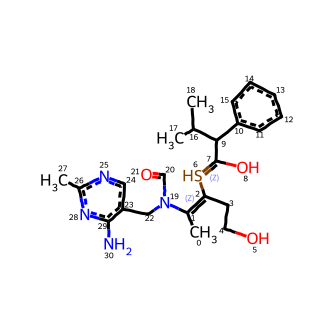 C/C(=C(CCO)/[SH]=C(\O)C(c1ccccc1)C(C)C)N(C=O)Cc1cnc(C)nc1N